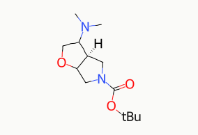 CN(C)C1COC2CN(C(=O)OC(C)(C)C)C[C@@H]21